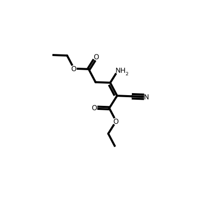 CCOC(=O)CC(N)=C(C#N)C(=O)OCC